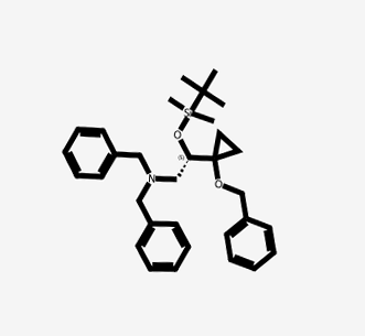 CC(C)(C)[Si](C)(C)O[C@@H](CN(Cc1ccccc1)Cc1ccccc1)C1(OCc2ccccc2)CC1